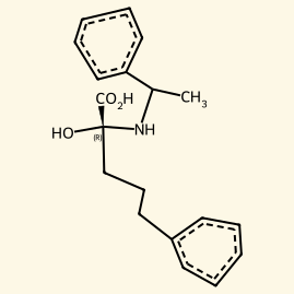 CC(N[C@@](O)(CCCc1ccccc1)C(=O)O)c1ccccc1